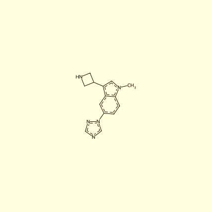 Cn1cc(C2CNC2)c2cc(-n3cncn3)ccc21